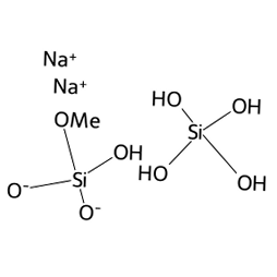 CO[Si]([O-])([O-])O.O[Si](O)(O)O.[Na+].[Na+]